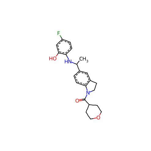 CC(Nc1ccc(F)cc1O)c1ccc2c(c1)CCN2C(=O)C1CCOCC1